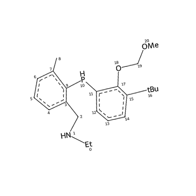 CCNCc1cccc(C)c1Pc1cccc(C(C)(C)C)c1OCOC